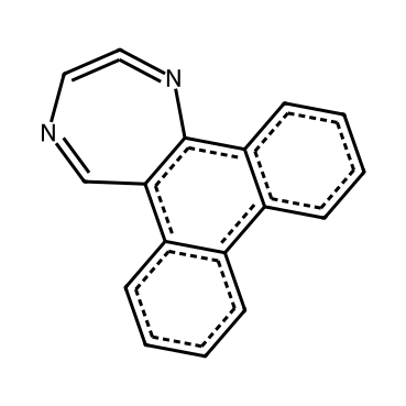 C1=CN=Cc2c(c3ccccc3c3ccccc23)N=1